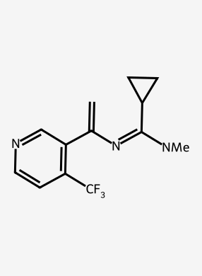 C=C(/N=C(/NC)C1CC1)c1cnccc1C(F)(F)F